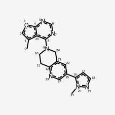 Cc1coc2ncnc(N3CCc4ncc(-c5ccnn5C)cc4C3)c12